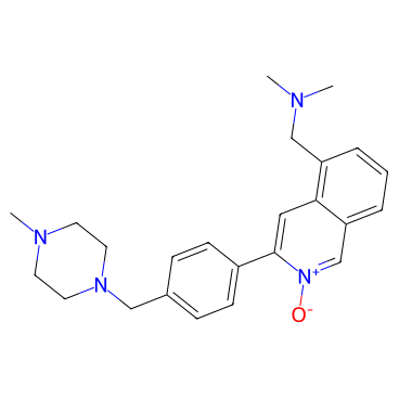 CN(C)Cc1cccc2c[n+]([O-])c(-c3ccc(CN4CCN(C)CC4)cc3)cc12